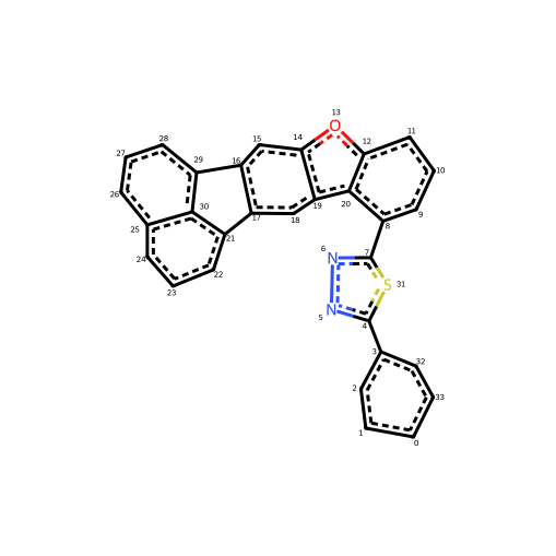 c1ccc(-c2nnc(-c3cccc4oc5cc6c(cc5c34)-c3cccc4cccc-6c34)s2)cc1